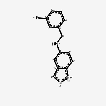 Fc1cccc(CNc2ccc3[nH]ncc3c2)c1